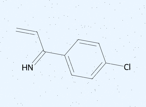 C=CC(=N)c1ccc(Cl)cc1